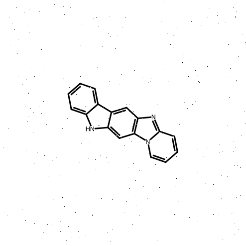 c1ccc2c(c1)[nH]c1cc3c(cc12)nc1ccccn13